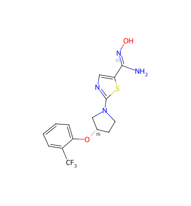 N/C(=N\O)c1cnc(N2CC[C@H](Oc3ccccc3C(F)(F)F)C2)s1